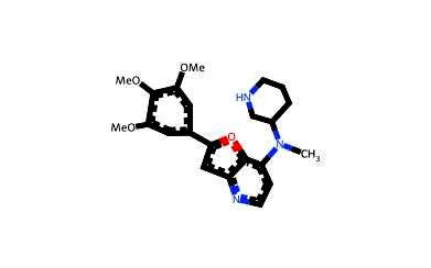 COc1cc(-c2cc3nccc(N(C)C4CCCNC4)c3o2)cc(OC)c1OC